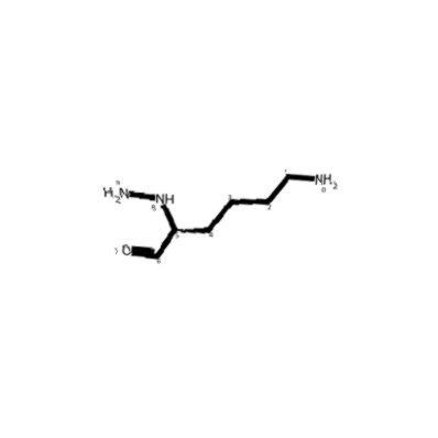 NCCCC[C@@H](C=O)NN